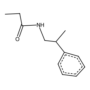 CCC(=O)NCC(C)c1ccccc1